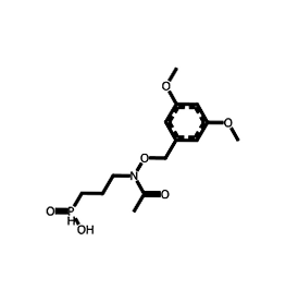 COc1cc(CON(CCC[PH](=O)O)C(C)=O)cc(OC)c1